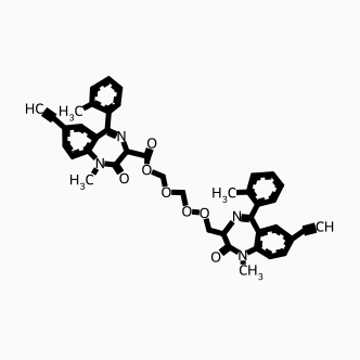 C#Cc1ccc2c(c1)C(c1ccccc1C)=NC(COOCOCOC(=O)C1N=C(c3ccccc3C)c3cc(C#C)ccc3N(C)C1=O)C(=O)N2C